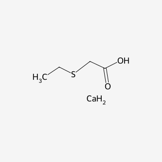 CCSCC(=O)O.[CaH2]